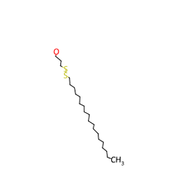 CCCCCCCCCCCCCCCCCCCSSCCC=O